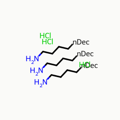 CCCCCCCCCCCCCCN.CCCCCCCCCCCCCCN.CCCCCCCCCCCCCCN.Cl.Cl.Cl